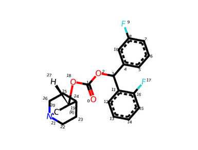 O=C(OC(c1cccc(F)c1)c1ccccc1F)O[C@H]1CN2CCC1CC2